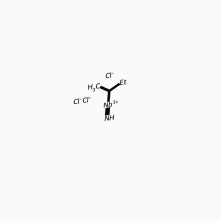 CC[CH](C)[Nb+3]=[NH].[Cl-].[Cl-].[Cl-]